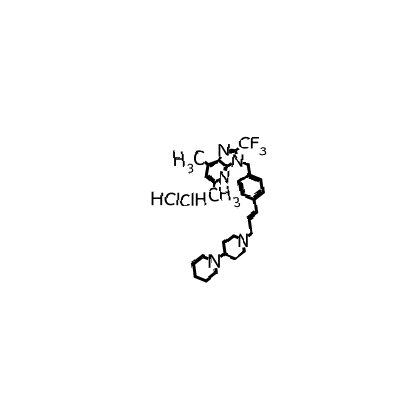 Cc1cc(C)c2nc(C(F)(F)F)n(Cc3ccc(C=CCN4CCC(N5CCCCC5)CC4)cc3)c2n1.Cl.Cl